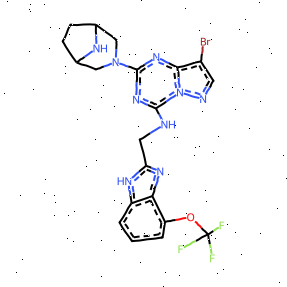 FC(F)(F)Oc1cccc2[nH]c(CNc3nc(N4CC5CCC(C4)N5)nc4c(Br)cnn34)nc12